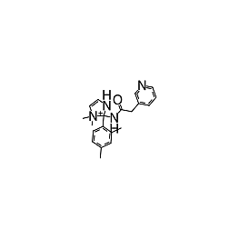 Cc1ccc(C2(NC(=O)Cc3cccnc3)NC=C[N+]2(C)C)c(C)c1